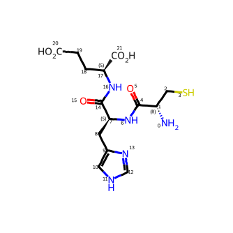 N[C@@H](CS)C(=O)N[C@@H](Cc1c[nH]cn1)C(=O)N[C@@H](CCC(=O)O)C(=O)O